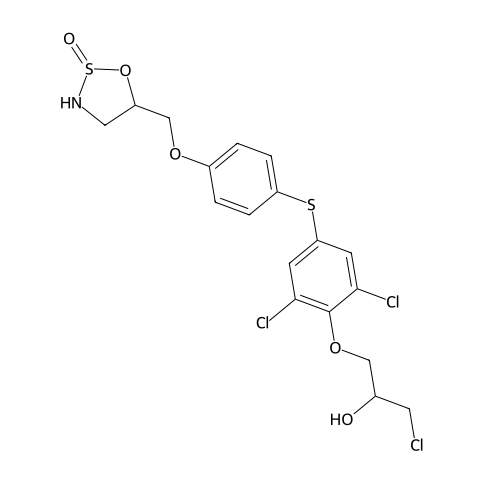 O=S1NCC(COc2ccc(Sc3cc(Cl)c(OCC(O)CCl)c(Cl)c3)cc2)O1